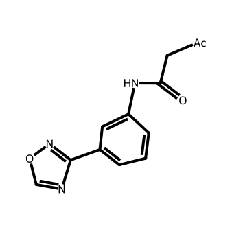 CC(=O)CC(=O)Nc1cccc(-c2ncon2)c1